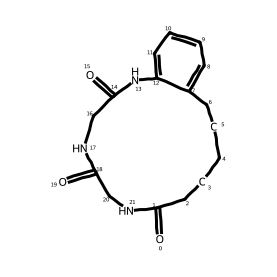 O=C1CCCCCc2ccccc2NC(=O)CNC(=O)CN1